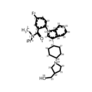 CC(C)N(C)C(=O)c1cc(F)ccc1-n1cc([C@H]2CC[C@@H](N3CCC(CO)C3)CC2)c2ccncc21